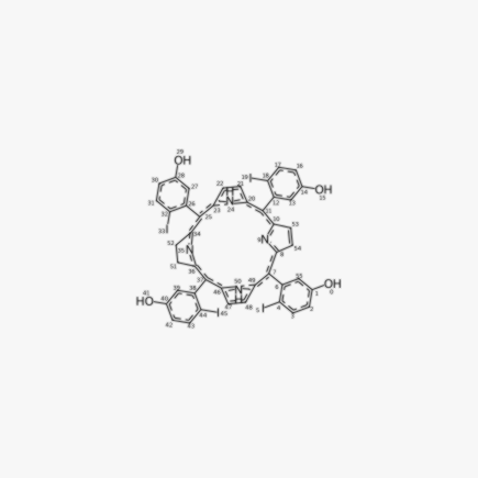 Oc1ccc(I)c(-c2c3nc(c(-c4cc(O)ccc4I)c4ccc([nH]4)c(-c4cc(O)ccc4I)c4nc(c(-c5cc(O)ccc5I)c5ccc2[nH]5)CC4)C=C3)c1